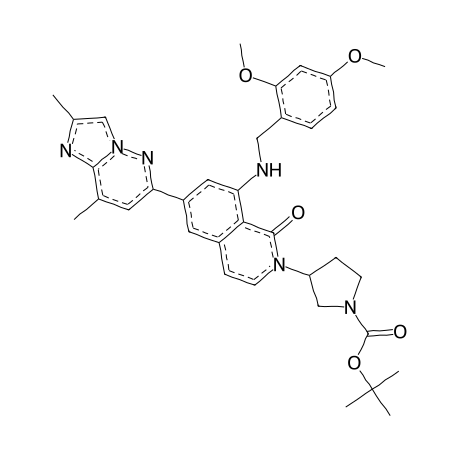 COc1ccc(CNc2cc(-c3cc(C)c4nc(C)cn4n3)cc3ccn(C4CCN(C(=O)OC(C)(C)C)C4)c(=O)c23)c(OC)c1